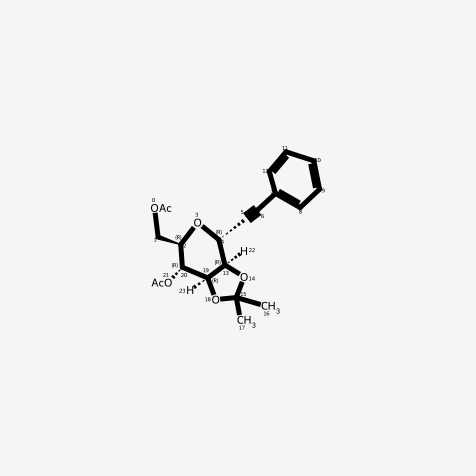 CC(=O)OC[C@H]1O[C@H](C#Cc2ccccc2)[C@H]2OC(C)(C)O[C@H]2[C@@H]1OC(C)=O